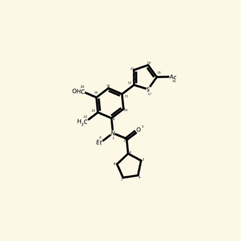 CCN(C(=O)C1CCCC1)c1cc(-c2ccc(C(C)=O)s2)cc(C=O)c1C